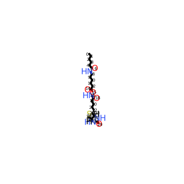 CCCCCC(=O)NCCCCCC(=O)ONC(=O)CCCC[C@@H]1SC[C@@H]2NC(=O)N[C@@H]21